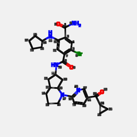 NC(=O)c1cc(Br)c(C(=O)NC2CC3CCCN(c4ccc(C(=O)C5CC5)cn4)C3C2)cc1NC1CCCC1